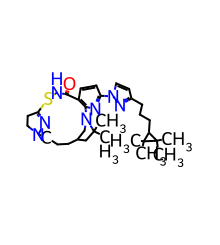 CC1(C)CC2CCCN3CCC(=N3)SNC(=O)c3ccc(-n4ccc(CCCC5C(C)(C)C5(C)C)n4)nc3N1C2